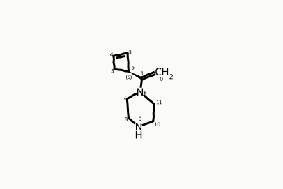 C=C([C@@H]1C=CC1)N1CCNCC1